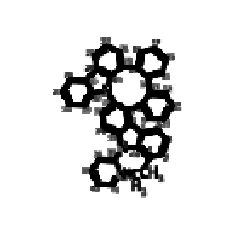 Cc1cccc2c3c4c5ccccc5c5ccccc5c5cccc6c7ccccc7n(c4ccc3n(-c3cccc[n+]3C)c12)c56